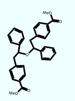 COC(=O)c1ccc(CC(OC(Cc2ccc(C(=O)OC)cc2)c2ccccc2)c2ccccc2)cc1